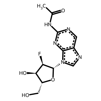 CC(=O)Nc1ncc2ncn([C@@H]3O[C@H](CO)[C@@H](O)[C@H]3F)c2n1